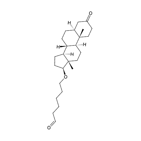 C[C@]12CCC(=O)C[C@@H]1CC[C@@H]1[C@@H]2CC[C@]2(C)[C@@H](OCCCCCC=O)CC[C@@H]12